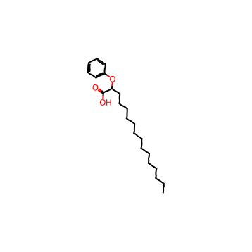 CCCCCCCCCCCCCCC(Oc1ccccc1)C(=O)O